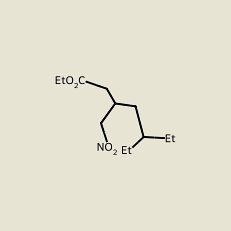 CCOC(=O)CC(CC(CC)CC)C[N+](=O)[O-]